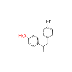 CCc1ccc(CC(C)c2ccc(O)cc2)cc1